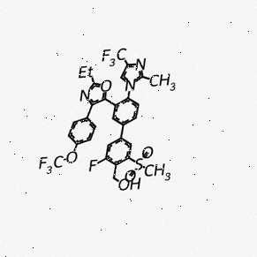 CCc1nc(-c2ccc(OC(F)(F)F)cc2)c(-c2cc(-c3cc(F)c(CO)c(S(C)(=O)=O)c3)ccc2-n2cc(C(F)(F)F)nc2C)o1